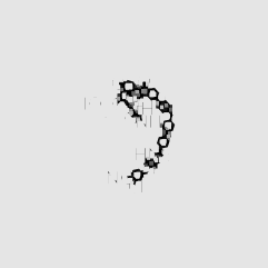 CC1(C)[C@H](NC(=O)c2ccc(N3CCC(CN4CCN(c5ccc6c(c5)C(=O)N(C5CCC(=O)N(CN(CCNC(=O)CN)C(=O)O)C5=O)C6=O)CC4)CC3)cc2)C(C)(C)[C@H]1Oc1ccc(C#N)c(Cl)c1